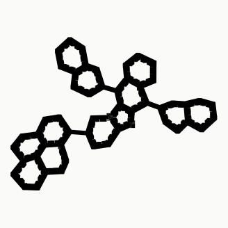 c1ccc2cc(-c3c4ccccc4c(-c4ccc5ccccc5c4)c4c3nc3ccc(-c5ccc6ccc7cccc8ccc5c6c78)cn34)ccc2c1